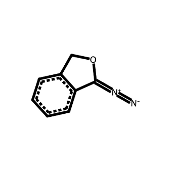 [N-]=[N+]=C1OCc2ccccc21